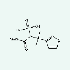 COC(=O)C(C(C)(C)c1ccsc1)P(=O)(O)O